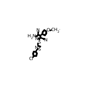 [CH2]COc1ccc(-c2c(C#N)c(N)nc(SCc3csc(-c4ccc(Cl)cc4)n3)c2C#N)cc1